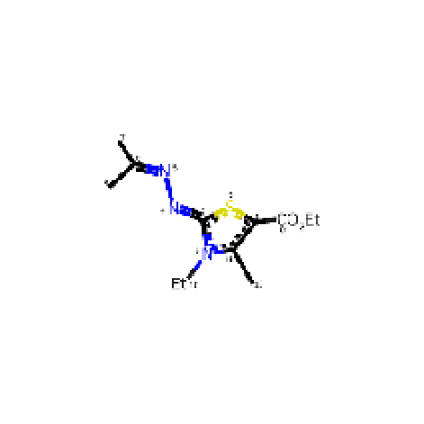 CCOC(=O)c1sc(=NN=C(C)C)n(CC)c1C